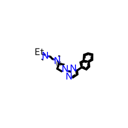 CCN(C)CCN(C)[C@@H]1CCN(c2nccc(-c3ccc4ccccc4c3)n2)C1